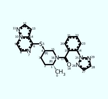 C[C@@H]1CC[C@@H](Sc2nccn3nccc23)CN1C(=O)c1ccccc1-n1nccn1